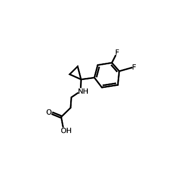 O=C(O)CCNC1(c2ccc(F)c(F)c2)CC1